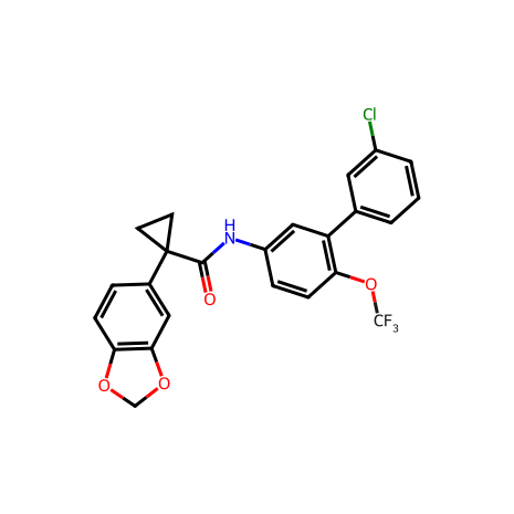 O=C(Nc1ccc(OC(F)(F)F)c(-c2cccc(Cl)c2)c1)C1(c2ccc3c(c2)OCO3)CC1